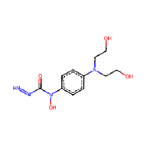 N=NC(=O)N(O)c1ccc(N(CCO)CCO)cc1